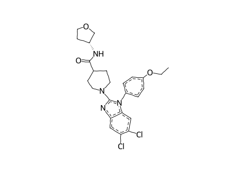 CCOc1ccc(-n2c(N3CCC(C(=O)N[C@@H]4CCOC4)CC3)nc3cc(Cl)c(Cl)cc32)cc1